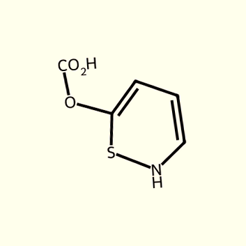 O=C(O)OC1=CC=CNS1